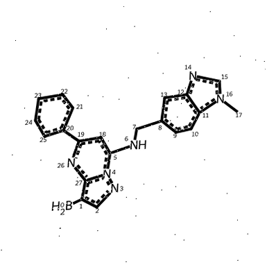 Bc1cnn2c(NCc3ccc4c(c3)ncn4C)cc(-c3ccccc3)nc12